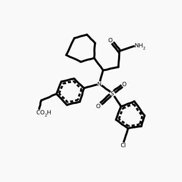 NC(=O)CC(C1CCCCC1)N(c1ccc(CC(=O)O)cc1)S(=O)(=O)c1cccc(Cl)c1